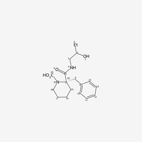 CCC(O)CNC(=O)[C@@]1(Cc2ccccc2)CCCCN1C(=O)O